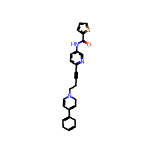 O=C(Nc1ccc(C#CCCN2C=CC(C3=CCC=CC3)=CC2)nc1)c1cccs1